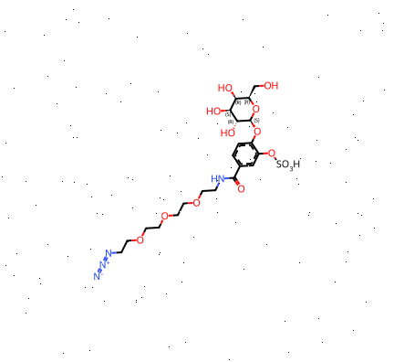 [N-]=[N+]=NCCOCCOCCOCCNC(=O)c1ccc(O[C@@H]2O[C@H](CO)[C@H](O)[C@H](O)[C@H]2O)c(OS(=O)(=O)O)c1